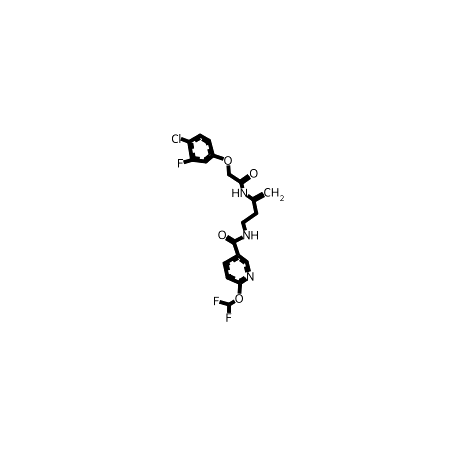 C=C(CCNC(=O)c1ccc(OC(F)F)nc1)NC(=O)COc1ccc(Cl)c(F)c1